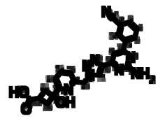 N#Cc1cccc(-c2cc(-c3cn(Cc4cccc(C5(O)CC(C(=O)O)C5)n4)nn3)nc(N)n2)c1